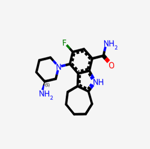 NC(=O)c1cc(F)c(N2CCC[C@H](N)C2)c2c3c([nH]c12)CCCCC3